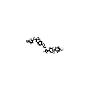 CN(C(=O)Cc1ccc(OCC[C@@H]2CCC2C2CCN(c3ncc(Cl)cn3)CC2)cc1F)C1CC[S+]([O-])C1